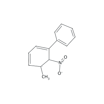 C[C]1C=CC=C(c2ccccc2)C1[N+](=O)[O-]